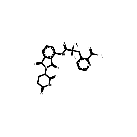 CC(C)(Cc1cccnc1C(N)=O)C(=O)Nc1cccc2c1C(=O)N(C1CCC(=O)NC1=O)C2=O